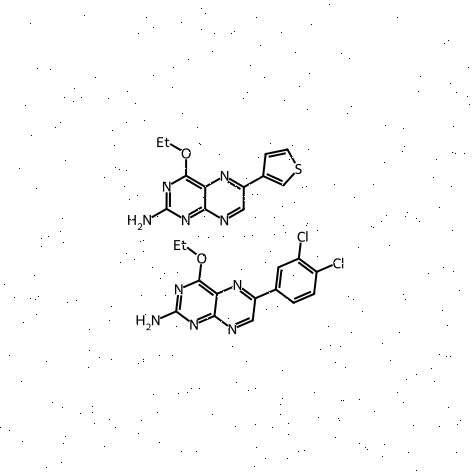 CCOc1nc(N)nc2ncc(-c3ccc(Cl)c(Cl)c3)nc12.CCOc1nc(N)nc2ncc(-c3ccsc3)nc12